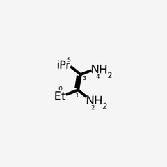 CC/C(N)=C(/N)C(C)C